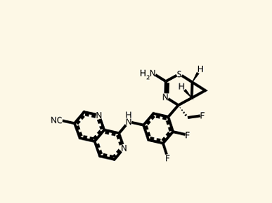 N#Cc1cnc2c(Nc3cc(F)c(F)c([C@@]4(CF)N=C(N)S[C@@H]5C[C@@H]54)c3)nccc2c1